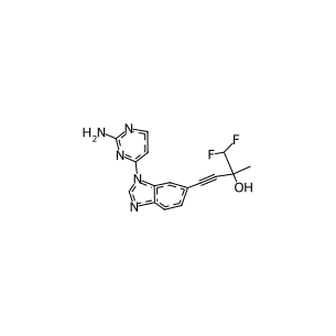 CC(O)(C#Cc1ccc2ncn(-c3ccnc(N)n3)c2c1)C(F)F